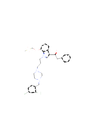 CS(=O)(=O)COc1cccc2c(C(=O)Cc3ccccc3)cn(CCCN3CCN(Cc4ccc(Cl)cc4Cl)CC3)c12